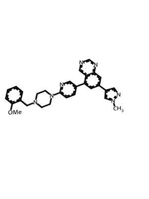 COc1ccccc1CN1CCN(c2ccc(-c3cc(-c4cnn(C)c4)cc4ncncc34)cn2)CC1